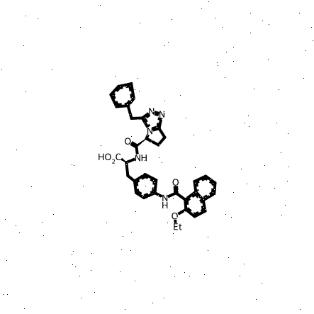 CCOc1ccc2ccccc2c1C(=O)Nc1ccc(C[C@H](NC(=O)[C@@H]2CCc3nnc(Cc4ccccc4)n32)C(=O)O)cc1